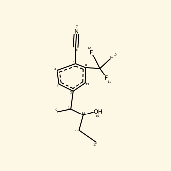 [CH2]C(c1ccc(C#N)c(C(F)(F)F)c1)C(O)CC